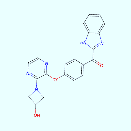 O=C(c1ccc(Oc2nccnc2N2CC(O)C2)cc1)c1nc2ccccc2[nH]1